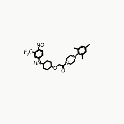 Cc1cc(C)c(N2CCN(C(=O)COC3CCC(Nc4ccc(N=O)c(C(F)(F)F)c4)CC3)CC2)c(C)c1